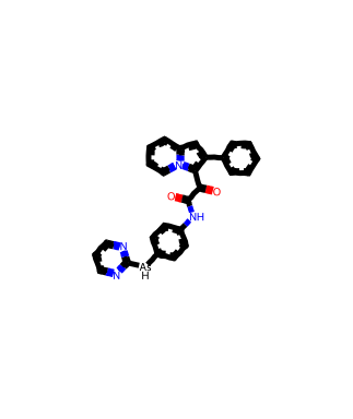 O=C(Nc1ccc([AsH]c2ncccn2)cc1)C(=O)c1c(-c2ccccc2)cc2ccccn12